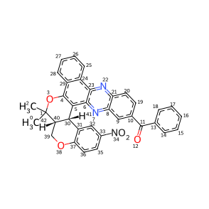 CC1(C)Oc2c(c3nc4cc(C(=O)c5ccccc5)ccc4nc3c3ccccc23)[C@@H]2c3cc([N+](=O)[O-])ccc3OC[C@@H]21